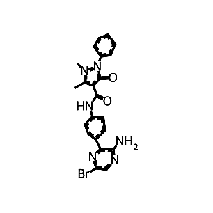 Cc1c(C(=O)Nc2ccc(-c3nc(Br)cnc3N)cc2)c(=O)n(-c2ccccc2)n1C